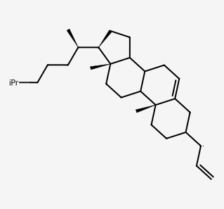 C=C[CH]C1CC[C@@]2(C)C(=CCC3C2CC[C@@]2(C)C3CC[C@@H]2[C@H](C)CCCC(C)C)C1